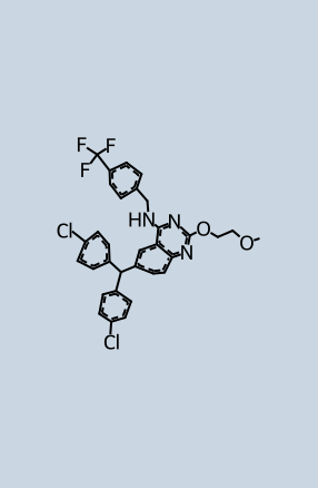 COCCOc1nc(NCc2ccc(C(F)(F)F)cc2)c2cc(C(c3ccc(Cl)cc3)c3ccc(Cl)cc3)ccc2n1